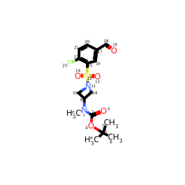 CN(C(=O)OC(C)(C)C)C1CN(S(=O)(=O)c2cc(C=O)ccc2F)C1